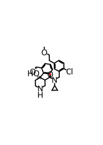 COCCc1ccc(Cl)c(CN(C(=O)C2CNCC[C@]2(O)c2ccccc2C=O)C2CC2)c1